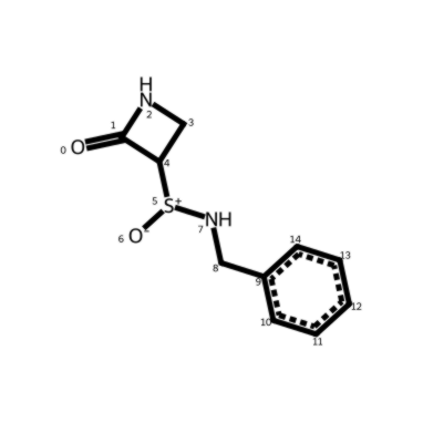 O=C1NCC1[S+]([O-])NCc1ccccc1